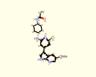 COc1cnc2[nH]cc(-c3cc(Cl)nc(N[C@H]4CC[C@H](NC(=O)C(C)C)CC4)c3)c2c1